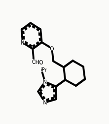 CC(C)n1cncc1C1CCCCC1COc1cccnc1C=O